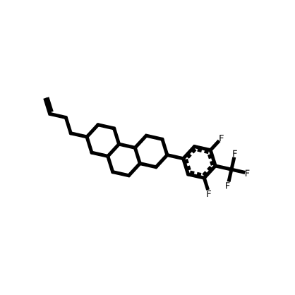 C=CCCC1CCC2C(CCC3CC(c4cc(F)c(C(F)(F)F)c(F)c4)CCC32)C1